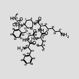 CNS(=O)(=O)NC1CCN(C(=O)[C@@H](CCCCCN)NC(=O)[C@@H](CC(C)C)NC(=O)[C@@H](Cc2ccccc2)NC(=O)[C@H](N)Cc2ccccc2)CC1